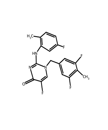 Cc1ccc(F)cc1Nc1nc(=O)c(F)cn1Cc1cc(F)c(C)c(F)c1